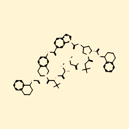 CN[C@@H](C)C(=O)N[C@H](C(=O)N1Cc2cc(NC(=O)c3ccc4ccn(C(=O)NC5C[C@@H](C(=O)NC6CCCc7ccccc76)N(C(=O)[C@@H](NC(=O)[C@H](C)NC)C(C)(C)C)C5)c4c3)ccc2C[C@H]1C(=O)NC1CCCc2ccccc21)C(C)(C)C